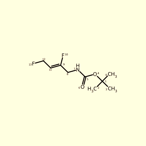 CC(C)(C)OC(=O)NC/C(F)=C/CF